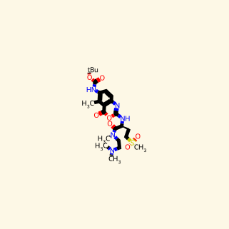 Cc1c(NC(=O)OC(C)(C)C)ccc2nc(N[C@@H](CCS(C)(=O)=O)C(=O)N(C)CCN(C)C)oc(=O)c12